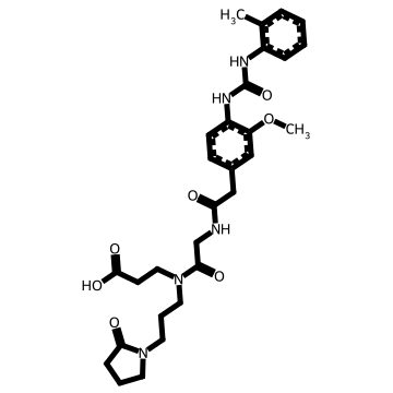 COc1cc(CC(=O)NCC(=O)N(CCCN2CCCC2=O)CCC(=O)O)ccc1NC(=O)Nc1ccccc1C